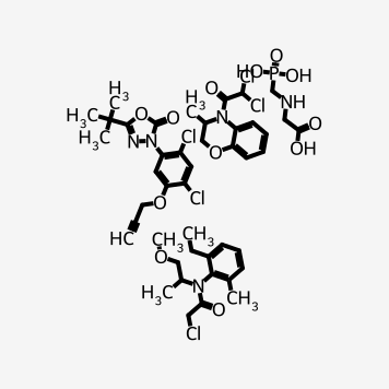 C#CCOc1cc(-n2nc(C(C)(C)C)oc2=O)c(Cl)cc1Cl.CC1COc2ccccc2N1C(=O)C(Cl)Cl.CCc1cccc(C)c1N(C(=O)CCl)C(C)COC.O=C(O)CNCP(=O)(O)O